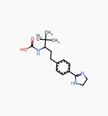 CC(C)(C)C(CCc1ccc(C2=NCCN2)cc1)NC(=O)O